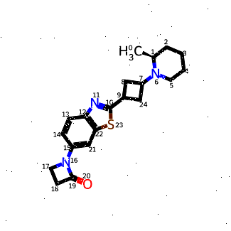 C[C@H]1CCCCN1C1CC(c2nc3ccc(N4CCC4=O)cc3s2)C1